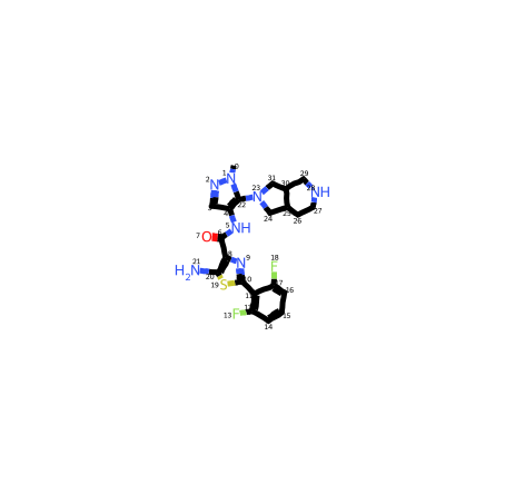 Cn1ncc(NC(=O)c2nc(-c3c(F)cccc3F)sc2N)c1N1CC2CCNCC2C1